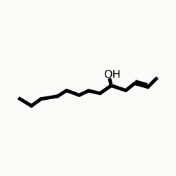 CC=CCC(O)CCCCCCCC